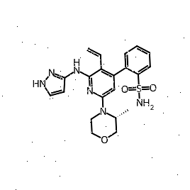 C=Cc1c(-c2ccccc2S(N)(=O)=O)cc(N2CCOC[C@H]2C)nc1Nc1cc[nH]n1